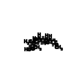 COc1ccc(NC(=O)Nc2cc3c(cc2F)/C(=C/c2[nH]c(C)c(CC(=O)O)c2C)C(=O)N3)cc1